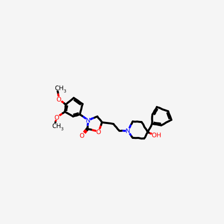 COc1ccc(N2CC(CCN3CCC(O)(c4ccccc4)CC3)OC2=O)cc1OC